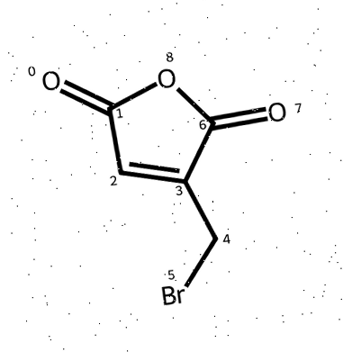 O=C1C=C(CBr)C(=O)O1